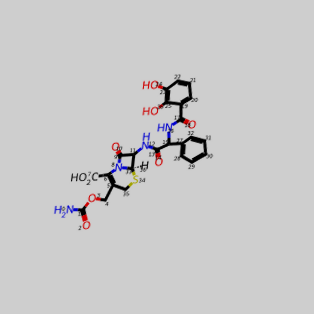 NC(=O)OCC1=C(C(=O)O)N2C(=O)C(NC(=O)C(NC(=O)c3cccc(O)c3O)c3ccccc3)[C@H]2SC1